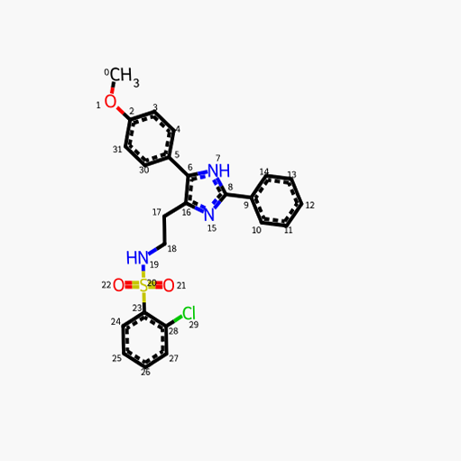 COc1ccc(-c2[nH]c(-c3ccccc3)nc2CCNS(=O)(=O)c2ccccc2Cl)cc1